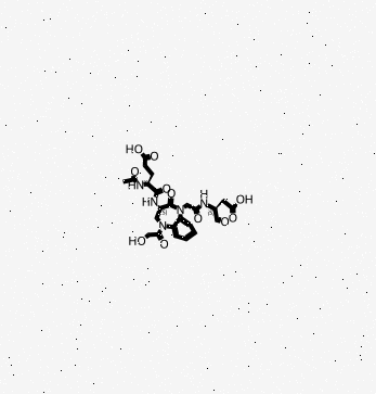 CC(=O)N[C@@H](CCC(=O)O)C(=O)N[C@H]1CN(C(=O)CO)c2ccccc2N(CC(=O)N[C@H](C=O)CC(=O)O)C1=O